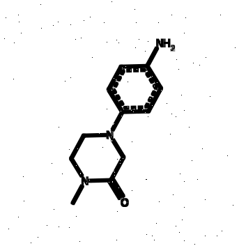 CN1CCN(c2ccc(N)cc2)CC1=O